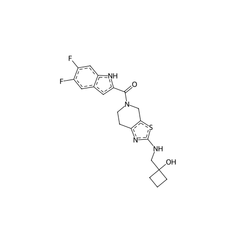 O=C(c1cc2cc(F)c(F)cc2[nH]1)N1CCc2nc(NCC3(O)CCC3)sc2C1